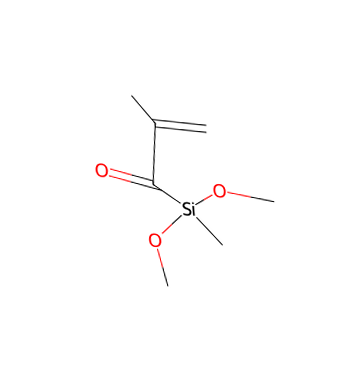 C=C(C)C(=O)[Si](C)(OC)OC